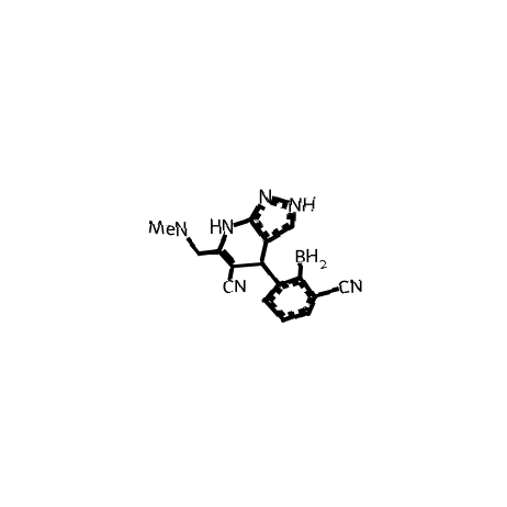 Bc1c(C#N)cccc1C1C(C#N)=C(CNC)Nc2n[nH]cc21